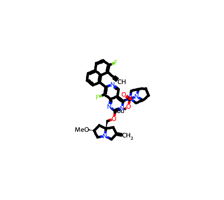 C#Cc1c(F)ccc2cccc(-c3ncc4c(N5CC6CCC(C5)N6C(=O)OC(C)(C)C)nc(OC[C@@]56CC(=C)CN5C[C@H](OC)C6)nc4c3F)c12